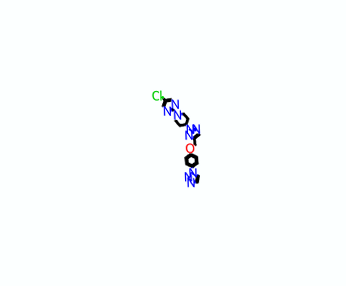 Clc1cnc(N2CCC(n3ncc(COc4ccc(-n5ccnn5)cc4)n3)CC2)nc1